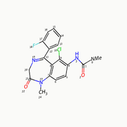 CNC(=O)Nc1ccc2c(c1Cl)C(c1ccccc1F)=NCC(=O)N2C